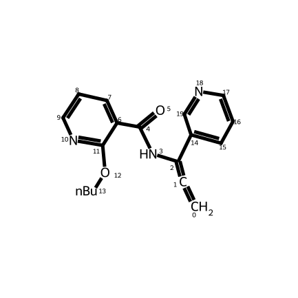 C=C=C(NC(=O)c1cccnc1OCCCC)c1cccnc1